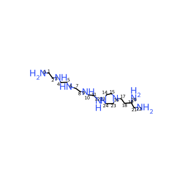 NCCNCCNCCNCCNN1CCN(CCC(N)CN)CC1